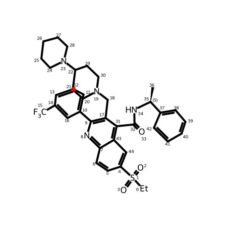 CCS(=O)(=O)c1ccc2nc(-c3cccc(C(F)(F)F)c3)c(CN3CCC(N4CCCCC4)CC3)c(C(=O)N[C@@H](C)c3ccccc3)c2c1